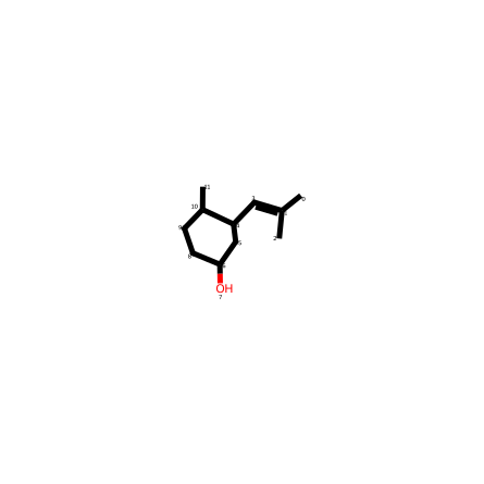 CC(C)=CC1CC(O)CCC1C